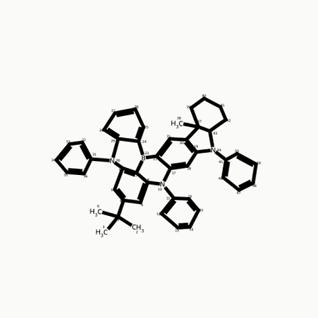 CC(C)(C)c1cc2c3c(c1)N(c1ccccc1)c1cc4c(cc1B3c1ccccc1N2c1ccccc1)C1(C)CCCCC1N4c1ccccc1